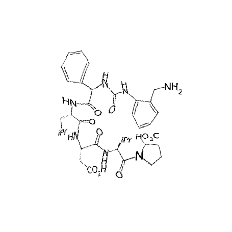 CC(C)C[C@H](NC(=O)C(NC(=O)Nc1ccccc1CN)c1ccccc1)C(=O)N[C@@H](CC(=O)O)C(=O)N[C@H](C(=O)N1CCC[C@H]1C(=O)O)C(C)C